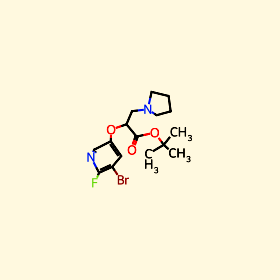 CC(C)(C)OC(=O)C(CN1CCCC1)Oc1cnc(F)c(Br)c1